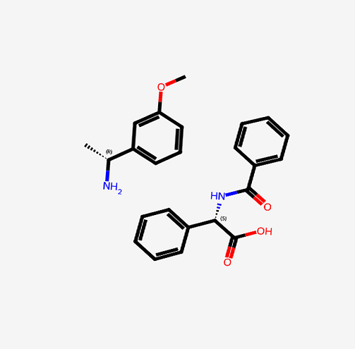 COc1cccc([C@@H](C)N)c1.O=C(N[C@H](C(=O)O)c1ccccc1)c1ccccc1